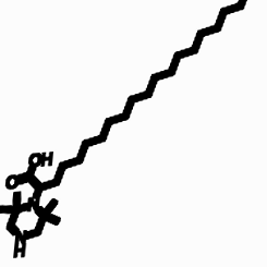 CCCCCCCCCCCCCCCCCCC(C(=O)O)N1C(C)(C)CNCC1(C)C